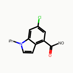 CC(C)n1ccc2c(C(=O)N=O)cc(Cl)cc21